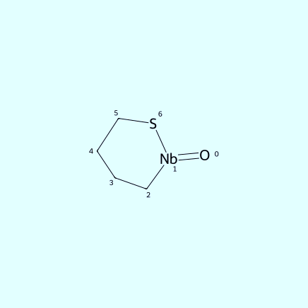 [O]=[Nb]1[CH2]CCC[S]1